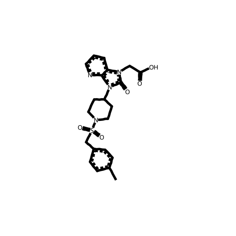 Cc1ccc(CS(=O)(=O)N2CCC(n3c(=O)n(CC(=O)O)c4cccnc43)CC2)cc1